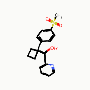 CS(=O)(=O)c1ccc(C2(C(O)c3ccccn3)CCC2)cc1